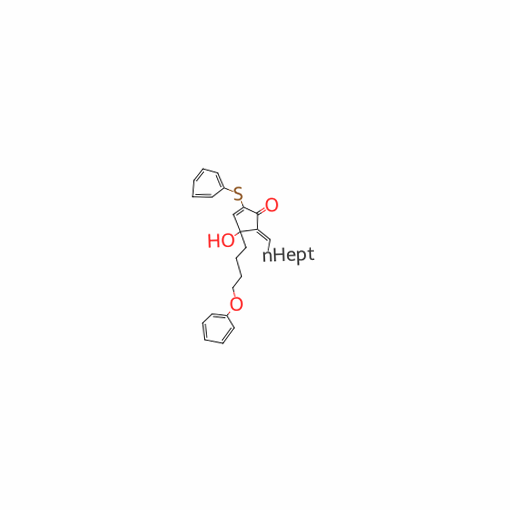 CCCCCCCC=C1C(=O)C(Sc2ccccc2)=CC1(O)CCCCOc1ccccc1